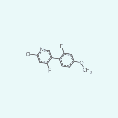 COc1ccc(-c2cnc(Cl)cc2F)c(F)c1